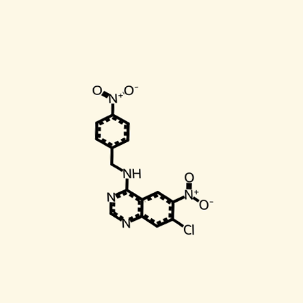 O=[N+]([O-])c1ccc(CNc2ncnc3cc(Cl)c([N+](=O)[O-])cc23)cc1